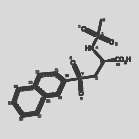 CS(=O)(=O)N[C@H](CS(=O)(=O)c1ccc2ccccc2c1)C(=O)O